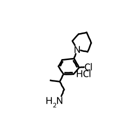 CC(CN)c1ccc(N2CCCCC2)c(Cl)c1.Cl